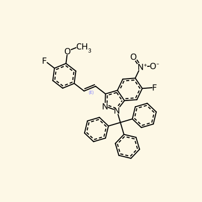 COc1cc(/C=C/c2nn(C(c3ccccc3)(c3ccccc3)c3ccccc3)c3cc(F)c([N+](=O)[O-])cc23)ccc1F